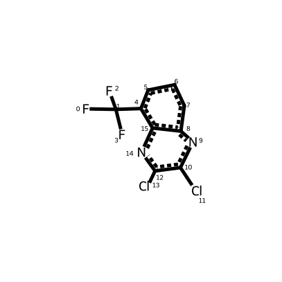 FC(F)(F)c1cccc2nc(Cl)c(Cl)nc12